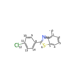 [CH2]c1cccc2sc(-c3ccc(Cl)cc3)nc12